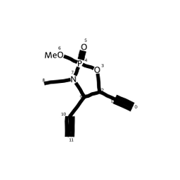 C#CC1OP(=O)(OC)N(C)C1C#C